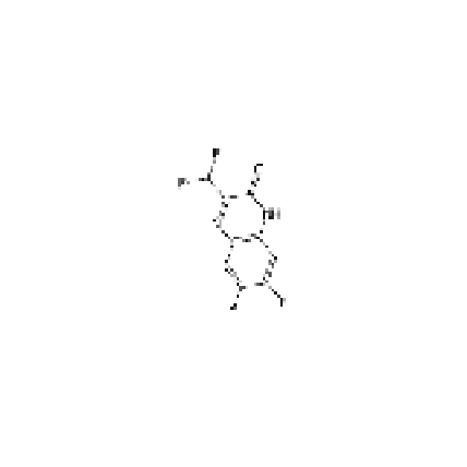 O=c1[nH]c2cc(F)c(F)cc2nc1C(F)F